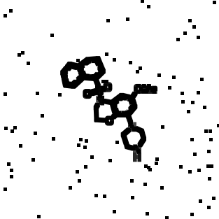 COc1cc(N2CCNCC2)c2c(c1)N(S(=O)(=O)c1cccc3ccccc13)CCO2